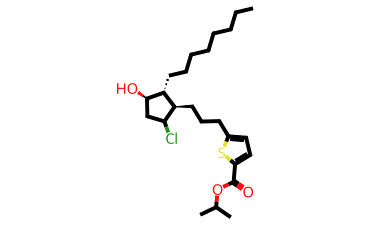 CCCCCCCC[C@H]1[C@H](O)CC(Cl)[C@@H]1CCCc1ccc(C(=O)OC(C)C)s1